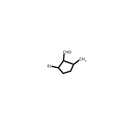 CCC1CCC(C)C1C=O